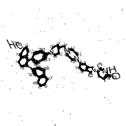 O=C1CC[C@H](N2Cc3cc(N4CCN(CC5CCN(c6ccc([C@@H]7c8ccc(O)cc8CC[C@@H]7c7ccc8c(c7)CCCC8)cc6)CC5)CC4)ccc3C2=O)C(=O)N1